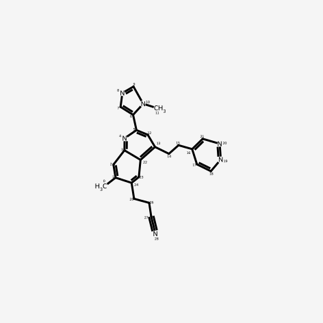 Cc1cc2nc(-c3cncn3C)cc(CCc3ccnnc3)c2cc1CCC#N